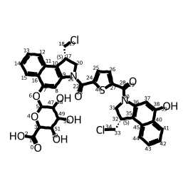 O=C(O)C1OC(Oc2cc3c(c4ccccc24)[C@H](CCl)CN3C(=O)c2ccc(C(=O)N3C[C@@H](CCl)c4c3cc(O)c3ccccc43)s2)C(O)C(O)C1O